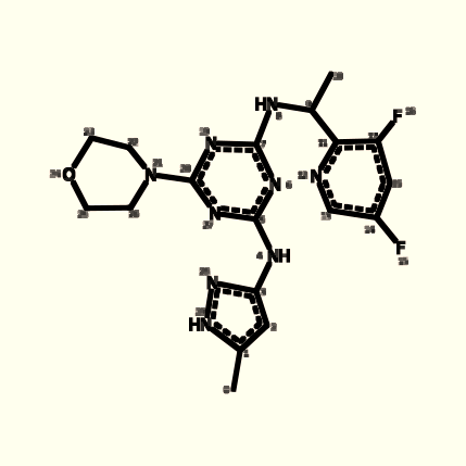 Cc1cc(Nc2nc(NC(C)c3ncc(F)cc3F)nc(N3CCOCC3)n2)n[nH]1